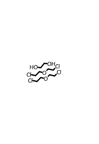 ClCCOCCCl.ClCCOCCCl.OCCO